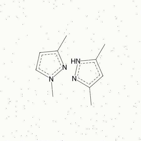 Cc1cc(C)[nH]n1.Cc1ccn(C)n1